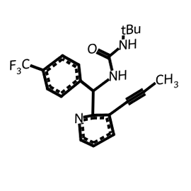 CC#Cc1cccnc1C(NC(=O)NC(C)(C)C)c1ccc(C(F)(F)F)cc1